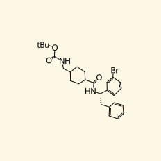 CC(C)(C)OC(=O)NCC1CCC(C(=O)N[C@@H](Cc2ccccc2)c2cccc(Br)c2)CC1